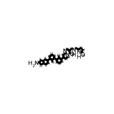 Cc1c(-c2ccc3c(c2)CC(N)C3)cccc1-c1cccc(-c2ccn3c(=O)c(CNCC4CCC(=O)N4)cnc3c2)c1C